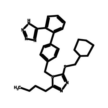 CCCCc1nnc(SCC2CCCCC2)n1Cc1ccc(-c2ccccc2-c2nnn[nH]2)cc1